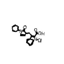 O=C(O)c1c(C=C2C=CN(c3ccccc3)C2=O)c2ccccc2n1Cl